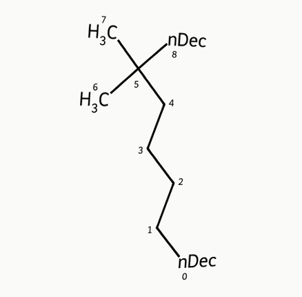 CCCCCCCCCCCCCCC(C)(C)CCCCCCCCCC